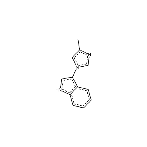 Cc1cn(-c2c[nH]c3ccccc23)cn1